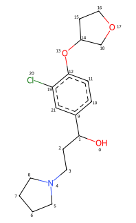 OC(CCN1CCCC1)c1ccc(OC2CCOC2)c(Cl)c1